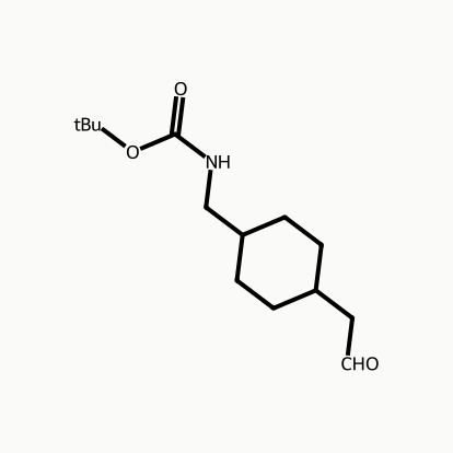 CC(C)(C)OC(=O)NCC1CCC(CC=O)CC1